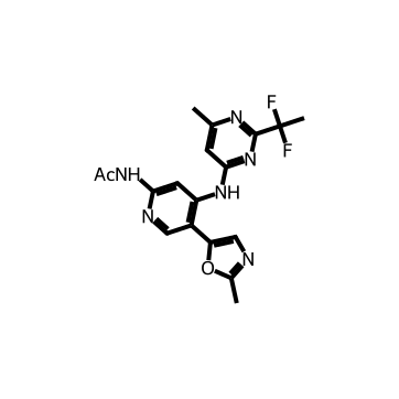 CC(=O)Nc1cc(Nc2cc(C)nc(C(C)(F)F)n2)c(-c2cnc(C)o2)cn1